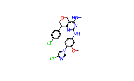 CNc1nc(Nc2ccc(-n3cnc(Cl)c3)c(OC)c2)nc2c1COCC2c1ccc(Cl)cc1